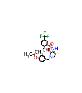 Cc1ccc(C(F)(F)F)cc1S(=O)(=O)N[C@@H]1CCN(Cc2ccc(OC(C)C)cc2)C1